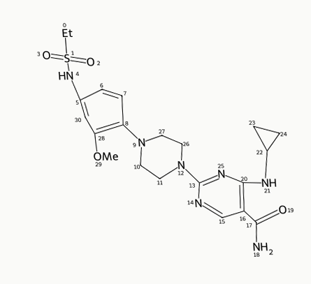 CCS(=O)(=O)Nc1ccc(N2CCN(c3ncc(C(N)=O)c(NC4CC4)n3)CC2)c(OC)c1